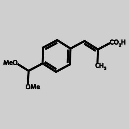 COC(OC)c1ccc(/C=C(\C)C(=O)O)cc1